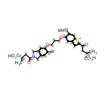 COc1cc2sc(C(=O)C[C@H](C)C(=O)O)cc2cc1OCCCOc1cc2c(cc1Br)CN(C(=O)C[C@H](C)C(=O)O)C2